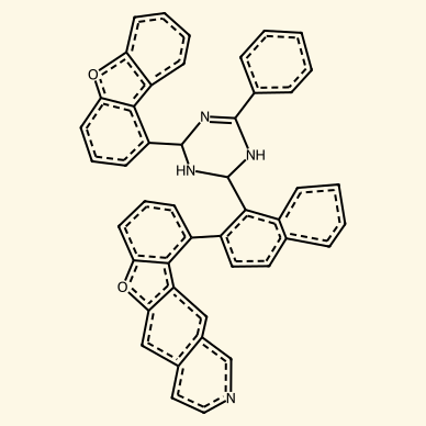 c1ccc(C2=NC(c3cccc4oc5ccccc5c34)NC(c3c(-c4cccc5oc6cc7ccncc7cc6c45)ccc4ccccc34)N2)cc1